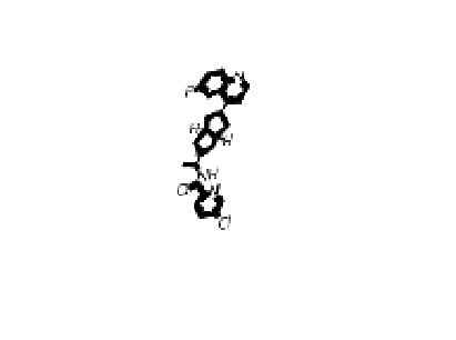 CC(NC(=O)c1ccc(Cl)cn1)[C@H]1C[C@H]2C[C@@H](c3ccnc4ccc(F)cc34)C[C@H]2C1